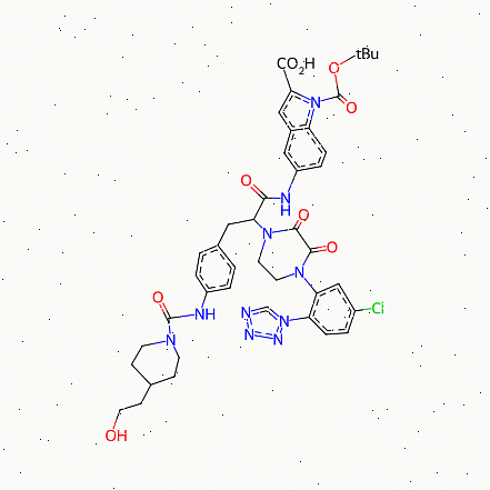 CC(C)(C)OC(=O)n1c(C(=O)O)cc2cc(NC(=O)C(Cc3ccc(NC(=O)N4CCC(CCO)CC4)cc3)N3CCN(c4cc(Cl)ccc4-n4cnnn4)C(=O)C3=O)ccc21